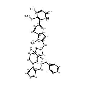 CCc1c(O)cc(=O)[nH]c1-c1ccc2c(c1)cc(CN1C[C@H]3CCC[C@@H](N(Cc4ccccc4)Cc4ccccc4)[C@H]3C1)n2C